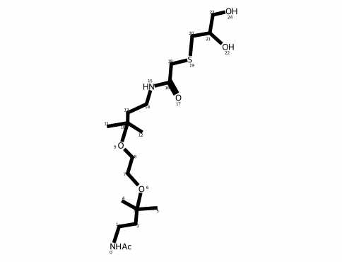 CC(=O)NCCC(C)(C)OCCOC(C)(C)CCNC(=O)CSCC(O)CO